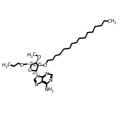 CCCCCCCCCCCCCCCCO[C@@H]1[C@H](OC)[C@@H](COCCC)O[C@H]1n1cnc2c(N)ncnc21